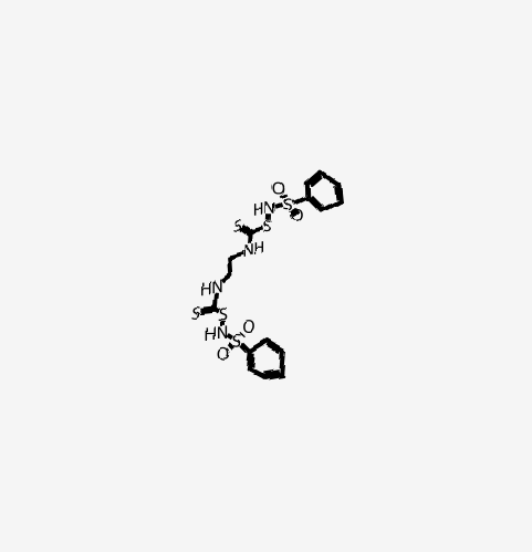 O=S(=O)(NSC(=S)NCCNC(=S)SNS(=O)(=O)c1ccccc1)c1ccccc1